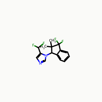 CC1(C)C(n2cncc2C(F)F)c2ccccc2C1(F)F